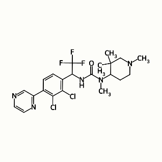 CN1CCC(N(C)C(=O)NC(c2ccc(-c3cnccn3)c(Cl)c2Cl)C(F)(F)F)C(C)(C)C1